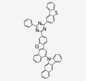 c1ccc(-c2nc(-c3ccc4c(c3)oc3c5ccccc5c(-n5c6ccccc6c6cc7ccccc7cc65)cc43)nc(-c3ccc4sc5ccccc5c4c3)n2)cc1